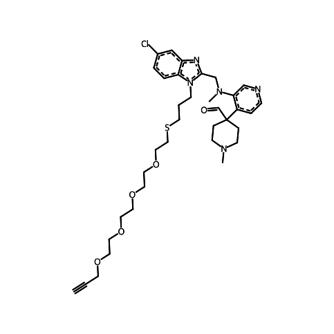 C#CCOCCOCCOCCOCCSCCCn1c(CN(C)c2cnccc2C2(C=O)CCN(C)CC2)nc2cc(Cl)ccc21